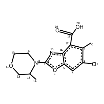 Cc1c(Cl)cc2oc(N3CCOCC3C)nc2c1C(=O)O